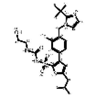 CC(C)Cc1cc(-c2ccc(Cn3ccnc3C(C)(C)C)c(F)c2)c(S(=O)(=O)NC(=O)NCCO)s1